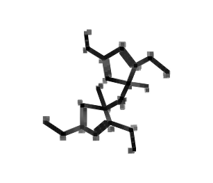 CCC1=C[C](C)([Zr][C]2(C)C=C(CC)C=C2CC)C(CC)=C1